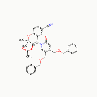 CC(=O)O[C@@H]1[C@@H](n2cc(COCc3ccccc3)c(COCc3ccccc3)cc2=O)c2cc(C#N)ccc2OC1(C)C